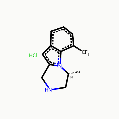 C[C@@H]1CNCc2cc3cccc(C(F)(F)F)c3n21.Cl